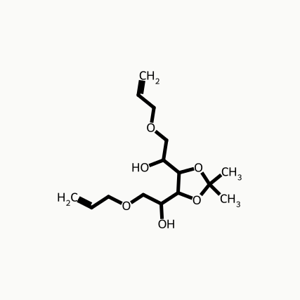 C=CCOCC(O)C1OC(C)(C)OC1C(O)COCC=C